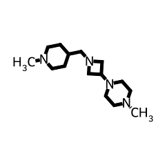 CN1CCC(CN2CC(N3CCN(C)CC3)C2)CC1